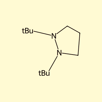 CC(C)(C)N1CCCN1C(C)(C)C